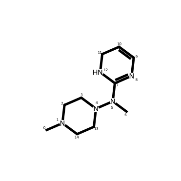 CN1CCN(N(C)C2=NC=[C]CN2)CC1